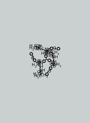 CC(C)(C)OC(=O)NCCCC[C@@](N)(C(=O)Cc1ccc(OCc2ccccc2)cc1)C(=O)Nc1ccc(C(c2ccc(NC(=O)[C@@](N)(CCCCNC(=O)OC(C)(C)C)C(=O)Cc3ccc(OCc4ccccc4)cc3)cc2)c2ccc(NC(=O)[C@@](N)(CCCCNC(=O)OC(C)(C)C)C(=O)Cc3ccc(OCc4ccccc4)cc3)cc2)cc1